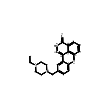 CCN1CCN(Cc2ccc3c(c2)-c2n[nH]c(=O)c4cccc(c24)O3)CC1